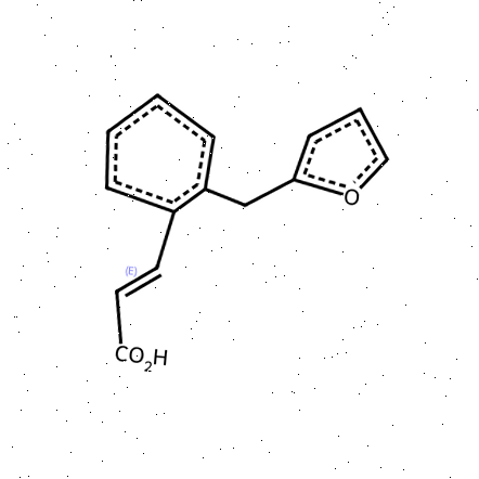 O=C(O)/C=C/c1ccccc1Cc1ccco1